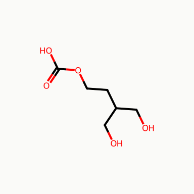 O=C(O)OCCC(CO)CO